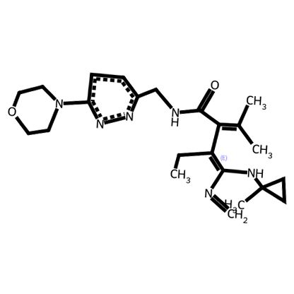 C=N/C(NC1(C)CC1)=C(\CC)C(C(=O)NCc1ccc(N2CCOCC2)nn1)=C(C)C